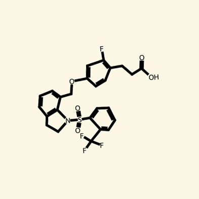 O=C(O)CCc1ccc(OCc2cccc3c2N(S(=O)(=O)c2ccccc2C(F)(F)F)CC3)cc1F